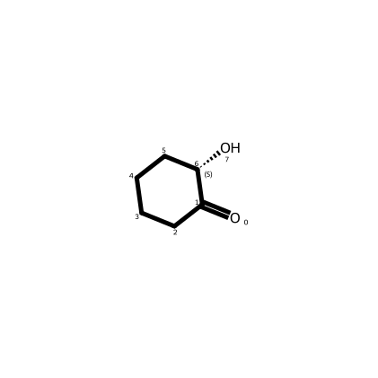 O=C1CCCC[C@@H]1O